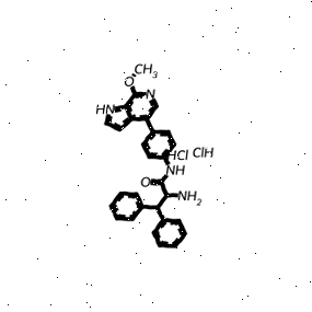 COc1ncc(-c2ccc(NC(=O)C(N)C(c3ccccc3)c3ccccc3)cc2)c2cc[nH]c12.Cl.Cl